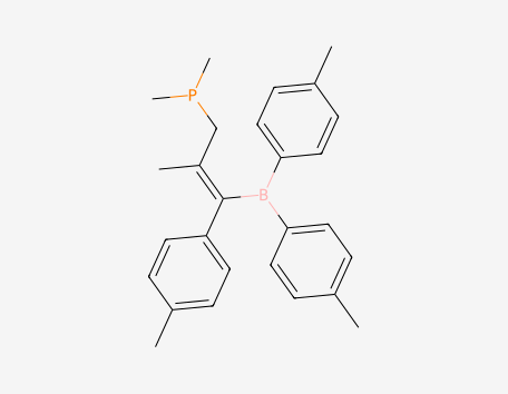 C/C(CP(C)C)=C(/B(c1ccc(C)cc1)c1ccc(C)cc1)c1ccc(C)cc1